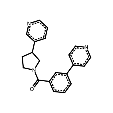 O=C(c1cccc(-c2ccncc2)c1)N1CCC(c2cccnc2)C1